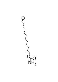 NC(=O)OCCCCCCCCCCCC=O